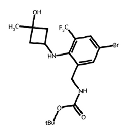 CC1(O)CC(Nc2c(CNC(=O)OC(C)(C)C)cc(Br)cc2C(F)(F)F)C1